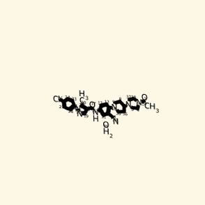 CC(=O)N1CCN(C2CCN(c3ccc(NC(=O)c4cnn(-c5ccc(Cl)cc5)c4C)cc3C#N)CC2)CC1.O